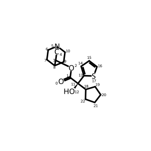 O=C(OC1CN2CCC1CC2)[C@](O)(c1cccs1)C1CCCC1